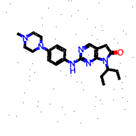 CCC(CC)N1C(=O)Cc2cnc(Nc3ccc(N4CCN(C)CC4)cc3)nc21